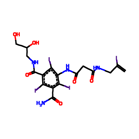 C=C(I)CNC(=O)CC(=O)Nc1c(I)c(C(N)=O)c(I)c(C(=O)NCC(O)CO)c1I